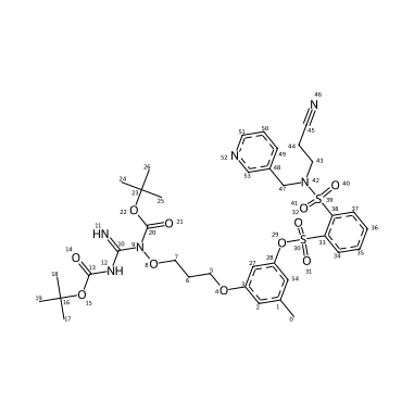 Cc1cc(OCCCON(C(=N)NC(=O)OC(C)(C)C)C(=O)OC(C)(C)C)cc(OS(=O)(=O)c2ccccc2S(=O)(=O)N(CCC#N)Cc2cccnc2)c1